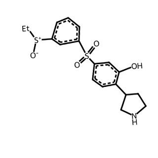 CC[S+]([O-])c1cccc(S(=O)(=O)c2ccc(C3CCNC3)c(O)c2)c1